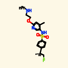 CCCNCCOc1cc(C)c(NS(=O)(=O)c2ccc([C@@H](C)CF)cc2)cn1